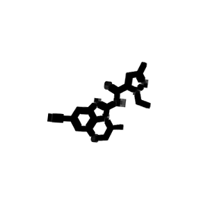 CCn1nc(C)cc1C(=O)Nc1nc2cc(C#N)cc3c2n1[C@@H](C)CO3